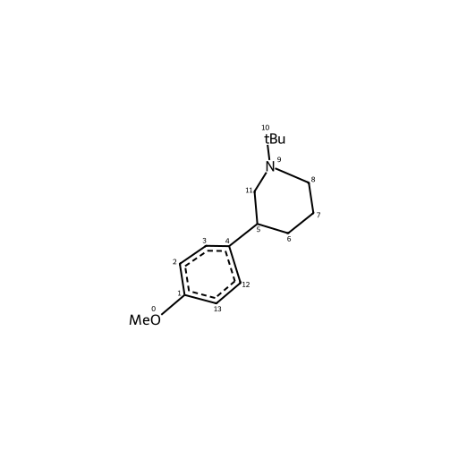 COc1ccc(C2CCCN(C(C)(C)C)C2)cc1